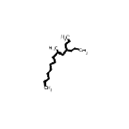 CCCCCCCCC(C)[CH]C(CCC)CCC